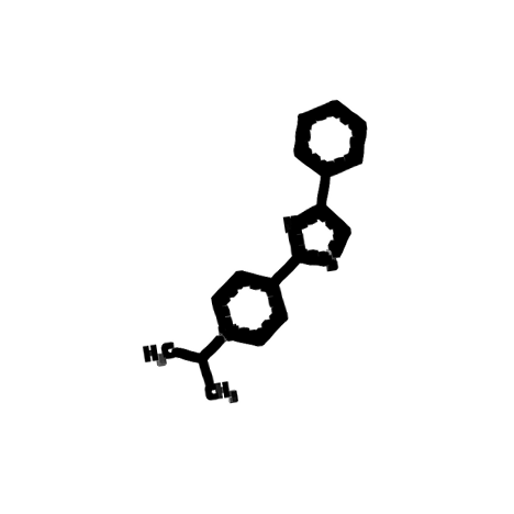 CC(C)[n+]1ccc(-c2nc(-c3ccccc3)cs2)cc1